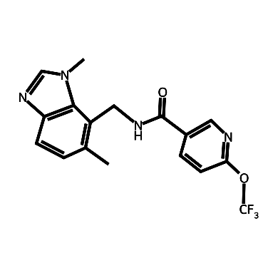 Cc1ccc2ncn(C)c2c1CNC(=O)c1ccc(OC(F)(F)F)nc1